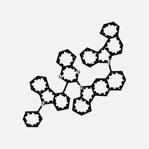 c1ccc(-n2c3ccccc3c3c(-c4nc5ccccc5nc4-n4c5ccccc5c5cc6cccc(-n7c8ccccc8c8c9ccccc9ccc87)c6cc54)cccc32)cc1